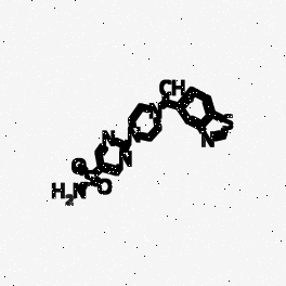 CC(c1ccc2scnc2c1)N1CCN(c2ncc(S(N)(=O)=O)cn2)CC1